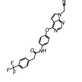 N#CCn1ccc2c(Oc3ccc(NC(=O)Cc4ccc(C(F)(F)F)cc4)cc3)ncnc21